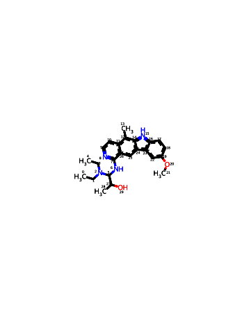 CCN(CC)C(Nc1nccc2c(C)c3[nH]c4ccc(OC)cc4c3cc12)C(C)O